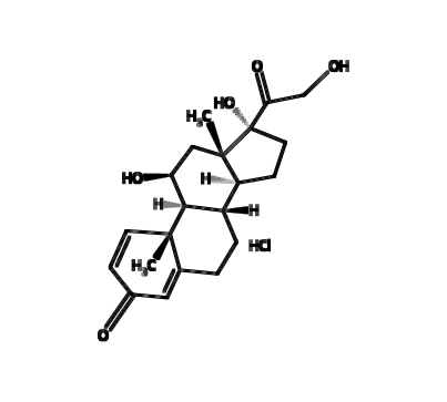 C[C@]12C=CC(=O)C=C1CC[C@@H]1[C@@H]2[C@@H](O)C[C@@]2(C)[C@H]1CC[C@]2(O)C(=O)CO.Cl